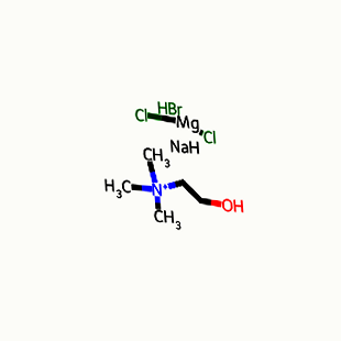 Br.C[N+](C)(C)CCO.[Cl][Mg][Cl].[NaH]